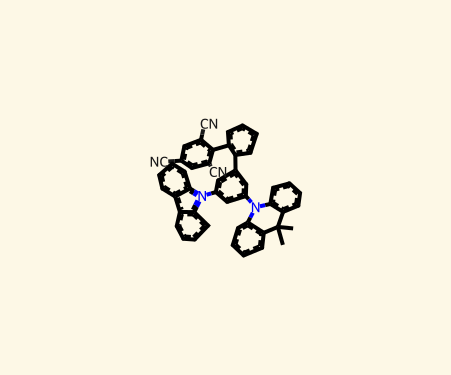 CC1(C)c2ccccc2N(c2cc(-c3ccccc3-c3c(C#N)cc(C#N)cc3C#N)cc(-n3c4ccccc4c4ccccc43)c2)c2ccccc21